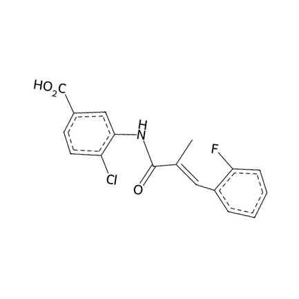 C/C(=C\c1ccccc1F)C(=O)Nc1cc(C(=O)O)ccc1Cl